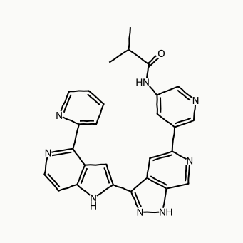 CC(C)C(=O)Nc1cncc(-c2cc3c(-c4cc5c(-c6ccccn6)nccc5[nH]4)n[nH]c3cn2)c1